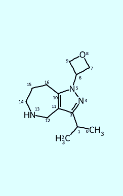 CC(C)c1nn(C2COC2)c2c1CNCCC2